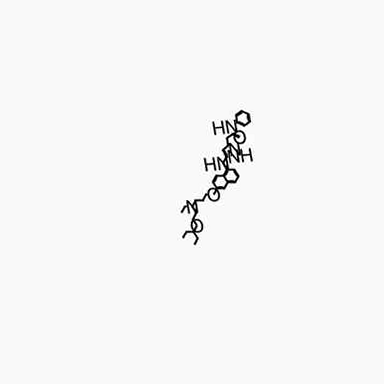 CCC(CC)OCCN(CC)CCCOc1ccc2c(Nc3cc(CC(=O)Nc4ccccc4)n[nH]3)cccc2c1